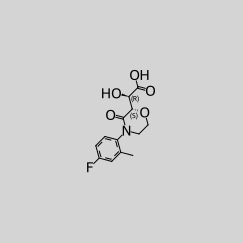 Cc1cc(F)ccc1N1CCO[C@@H]([C@@H](O)C(=O)O)C1=O